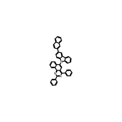 c1ccc(-c2nc(-c3ccccc3)c3cc(-n4c5ccccc5c5cc(-c6ccc7ccccc7c6)ccc54)c4ccccc4c3n2)cc1